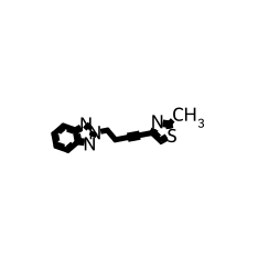 Cc1nc(C#CCCn2nc3ccccc3n2)cs1